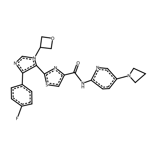 O=C(Nc1ccc(N2CCC2)cn1)c1csc(-c2c(-c3ccc(F)cc3)ncn2C2COC2)n1